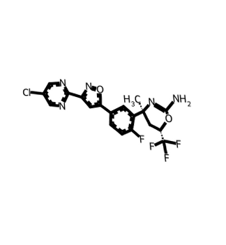 C[C@@]1(c2cc(-c3cc(-c4ncc(Cl)cn4)no3)ccc2F)C[C@@H](C(F)(F)F)OC(N)=N1